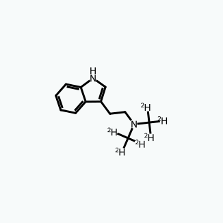 [2H]C([2H])([2H])N(CCc1c[nH]c2ccccc12)C([2H])([2H])[2H]